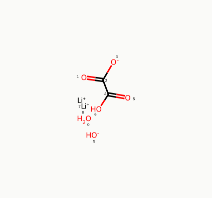 O.O=C([O-])C(=O)O.[Li+].[Li+].[OH-]